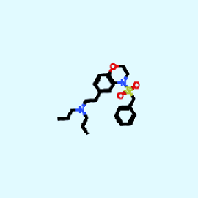 CCCN(CCC)CCc1ccc2c(c1)N(S(=O)(=O)Cc1ccccc1)CCO2